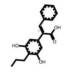 CCCc1c(O)cc(/C(=C/c2ccccc2)C(=O)O)cc1O